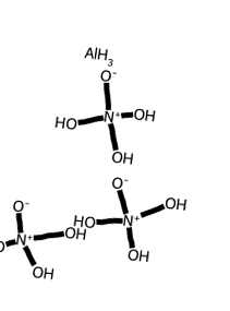 [AlH3].[O-][N+](O)(O)O.[O-][N+](O)(O)O.[O-][N+](O)(O)O